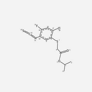 CC(C)OC(=O)CSc1cc(N=C=S)c(F)cc1Cl